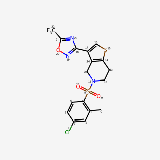 Cc1cc(Cl)ccc1S(=O)(=O)N1CCc2scc(-c3noc(C(F)(F)F)n3)c2C1